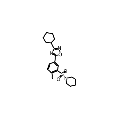 Cc1ccc(-c2nc(C3CCCCC3)no2)cc1S(=O)(=O)N1CCCCC1